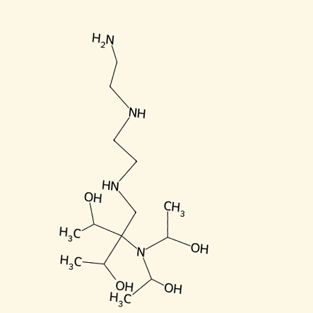 CC(O)N(C(C)O)C(CNCCNCCN)(C(C)O)C(C)O